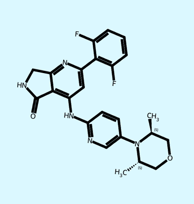 C[C@H]1COC[C@H](C)N1c1ccc(Nc2cc(-c3c(F)cccc3F)nc3c2C(=O)NC3)nc1